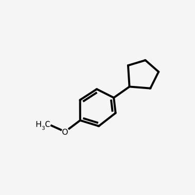 COc1ccc(C2CCCC2)cc1